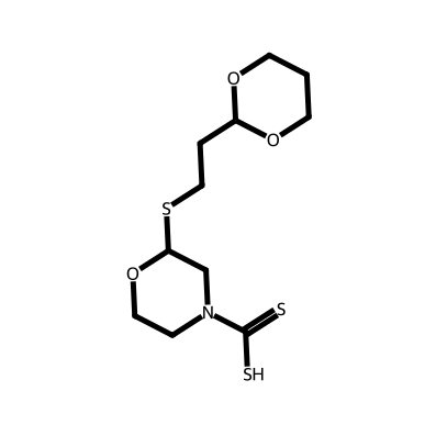 S=C(S)N1CCOC(SCCC2OCCCO2)C1